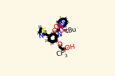 CC(C)(C)OC(=O)N1C2CC1CN(c1nc3c(OCC(O)C(F)(F)F)ccc(-c4nccs4)c3o1)C2